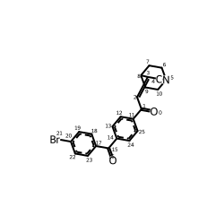 O=C(/C=C1\CN2CCC1CC2)c1ccc(C(=O)c2ccc(Br)cc2)cc1